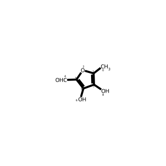 Cc1oc(C=O)c(O)c1O